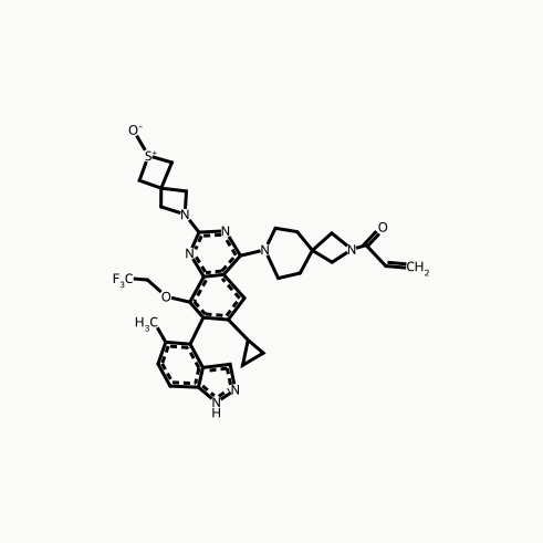 C=CC(=O)N1CC2(CCN(c3nc(N4CC5(C4)C[S+]([O-])C5)nc4c(OCC(F)(F)F)c(-c5c(C)ccc6[nH]ncc56)c(C5CC5)cc34)CC2)C1